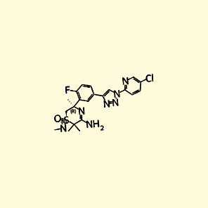 CN=[S@@]1(=O)C[C@@](C)(c2cc(-c3cn(-c4ccc(Cl)cn4)nn3)ccc2F)N=C(N)C1(C)C